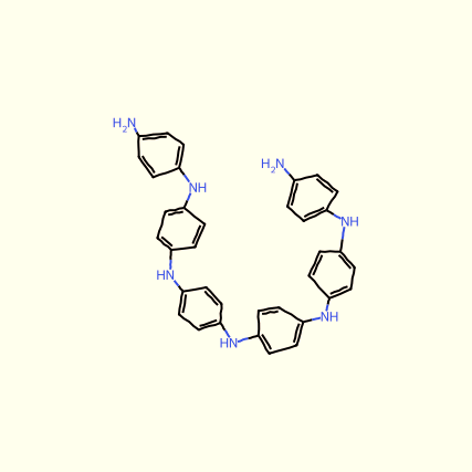 Nc1ccc(Nc2ccc(Nc3ccc(Nc4ccc(Nc5ccc(Nc6ccc(N)cc6)cc5)cc4)cc3)cc2)cc1